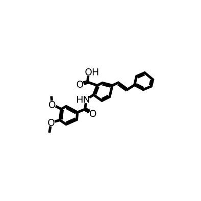 COc1ccc(C(=O)Nc2ccc(C=Cc3ccccc3)cc2C(=O)O)cc1OC